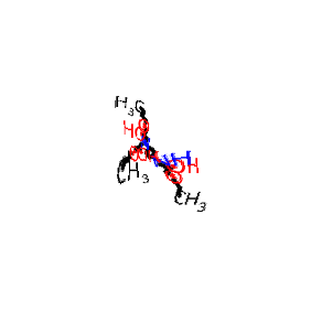 CCCCOCC(O)CNc1ccc(N(CC(O)COCCCC)CC(O)COCCCC)cc1